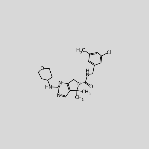 Cc1cc(Cl)cc(CNC(=O)N2Cc3nc(NC4CCOCC4)ncc3C2(C)C)c1